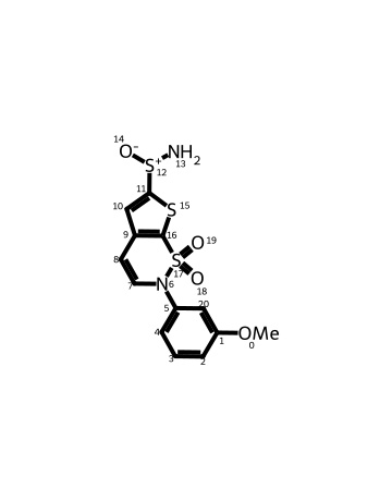 COc1cccc(N2C=Cc3cc([S+](N)[O-])sc3S2(=O)=O)c1